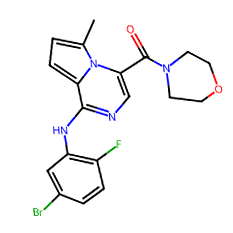 Cc1ccc2c(Nc3cc(Br)ccc3F)ncc(C(=O)N3CCOCC3)n12